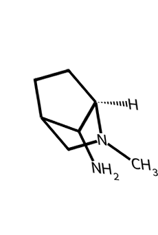 CN1CC2CC[C@@H]1C2N